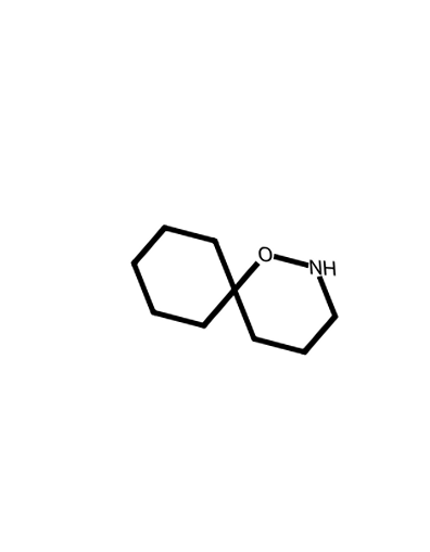 C1CCC2(CC1)CCCNO2